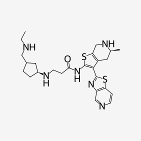 CCNCC1CC[C@H](NCCC(=O)Nc2sc3c(c2-c2nc4cnccc4s2)C[C@H](C)NC3)C1